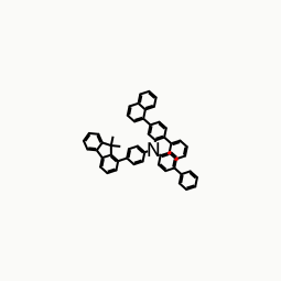 CC1(C)c2ccccc2-c2cccc(-c3ccc(N(c4ccc(-c5ccccc5)cc4)c4cc(-c5cccc6ccccc56)ccc4-c4ccccc4)cc3)c21